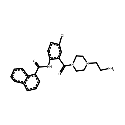 NCCN1CCN(C(=O)c2cc(Cl)ccc2NC(=O)c2cccc3ccccc23)CC1